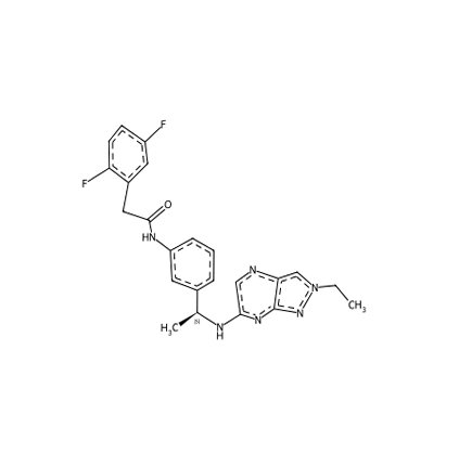 CCn1cc2ncc(N[C@@H](C)c3cccc(NC(=O)Cc4cc(F)ccc4F)c3)nc2n1